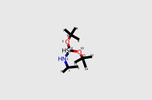 CC(C)N[SiH](OC(C)(C)C)OC(C)(C)C